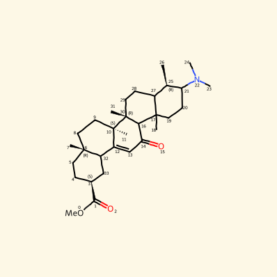 COC(=O)[C@H]1CC[C@]2(C)CC[C@]3(C)C(=CC(=O)C4C5(C)CCC(N(C)C)[C@H](C)C5CC[C@]43C)C2C1